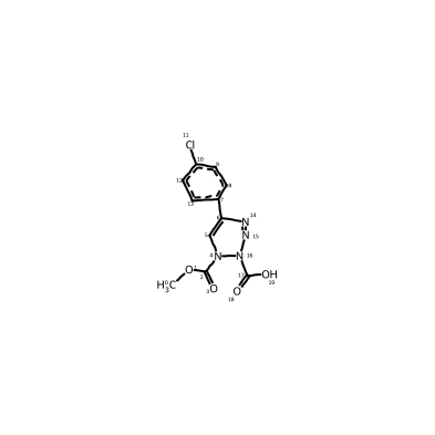 COC(=O)N1C=C(c2ccc(Cl)cc2)N=NN1C(=O)O